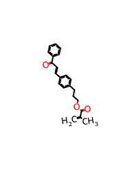 C=C(C)C(=O)OCCCc1ccc(C=CC(=O)c2ccccc2)cc1